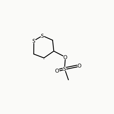 CS(=O)(=O)OC1[CH]CSSC1